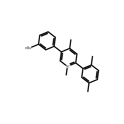 CCCCc1cccc(-c2c[n+](C)c(-c3cc(C)ccc3C)cc2C)c1